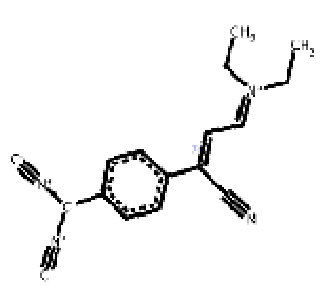 [C-]#[N+][C-]([N+]#[C-])c1ccc(/C(C#N)=C/C=[N+](CC)CC)cc1